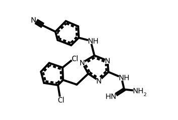 N#Cc1ccc(Nc2nc(Cc3c(Cl)cccc3Cl)nc(NC(=N)N)n2)cc1